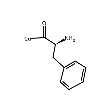 N[C@@H](Cc1ccccc1)[C](=O)[Cu]